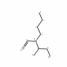 CCCCN([C]=O)C(C)CC